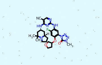 Cn1nnn(-c2cc(Nc3ncc(C#N)c(N[C@@H]4C[C@@H]5CCCN5C(C)(C)C4)n3)c(F)cc2OC2CCOC2)c1=O